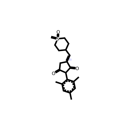 C=S1(=O)CCC(/C=C2\CC(=O)C(c3c(C)cc(C)cc3C)C2=O)CC1